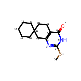 CSc1nc2c(c(=O)[nH]1)CCC1(CCCCC1)C2